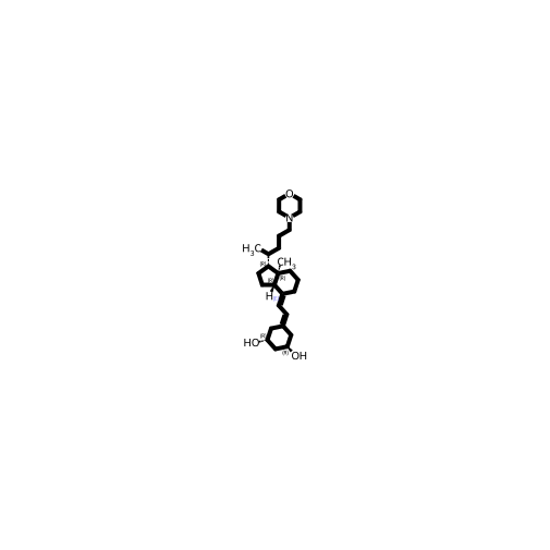 CC(CCCN1CCOCC1)[C@H]1CC[C@H]2/C(=C/C=C3C[C@@H](O)C[C@H](O)C3)CCC[C@]12C